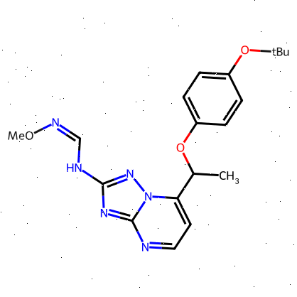 CO/N=C\Nc1nc2nccc(C(C)Oc3ccc(OC(C)(C)C)cc3)n2n1